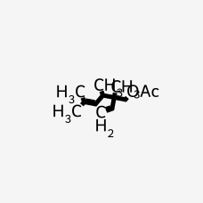 C=CC(C)(COC(C)=O)C(C)C=C(C)C